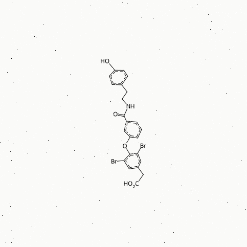 O=C(O)Cc1cc(Br)c(Oc2cccc(C(=O)NCCc3ccc(O)cc3)c2)c(Br)c1